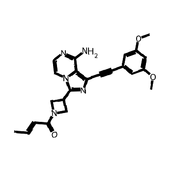 C/C=C/C(=O)N1CC(c2nc(C#Cc3cc(OC)cc(OC)c3)c3c(N)nccn23)C1